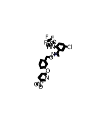 C/C(=N\OCc1cccc(Oc2ccc([N+](=O)[O-])cn2)c1)c1cc(Cl)ccc1NS(=O)(=O)C(F)(F)F